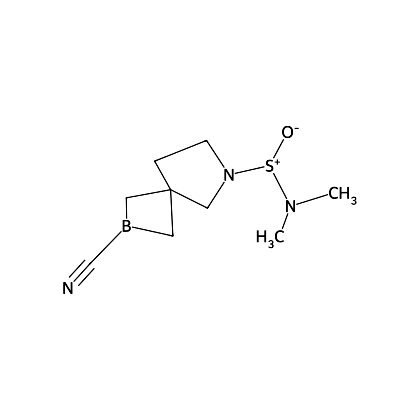 CN(C)[S+]([O-])N1CCC2(CB(C#N)C2)C1